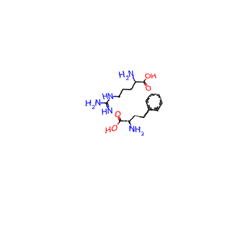 N=C(N)NCCCC(N)C(=O)O.NC(CCc1ccccc1)C(=O)O